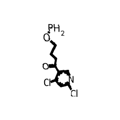 O=C(CCCOP)c1cnc(Cl)cc1Cl